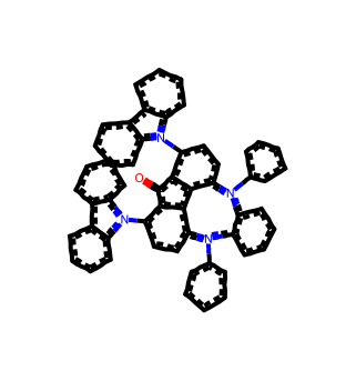 O=c1c2c(-n3c4ccccc4c4ccccc43)ccc3c2c2c1c(-n1c4ccccc4c4ccccc41)ccc2n(-c1ccccc1)c1ccccc1n3-c1ccccc1